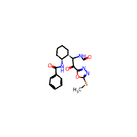 CSc1nnc(C(=O)C(NC=O)[C@@H]2CCCC[C@@H]2NC(=O)c2ccccc2)o1